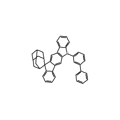 c1ccc(-c2cccc(-n3c4ccccc4c4cc5c(cc43)-c3ccccc3C53C4CC5CC(C4)CC3C5)c2)cc1